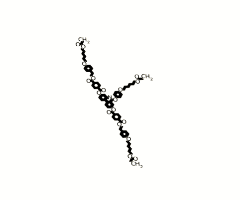 C=CC(=O)OCCCCCCOc1ccc(CCOC(=O)C2CCC(C(=O)Oc3ccc4c(c3)nc(Oc3ccc(OCCCCCCOC(=O)C=C)cc3)c3cc(OC(=O)C5CCC(C(=O)OCCc6ccc(OCCCCCCOC(=O)C=C)cc6)CC5)ccc34)CC2)cc1